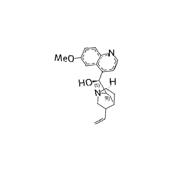 C=CC1CN2CCC1C[C@@H]2[C@@H](O)c1ccnc2ccc(OC)cc12